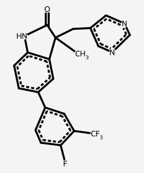 CC1(Cc2cncnc2)C(=O)Nc2ccc(-c3ccc(F)c(C(F)(F)F)c3)cc21